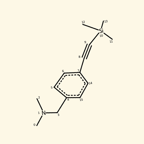 CN(C)Cc1ccc(C#C[Si](C)(C)C)cc1